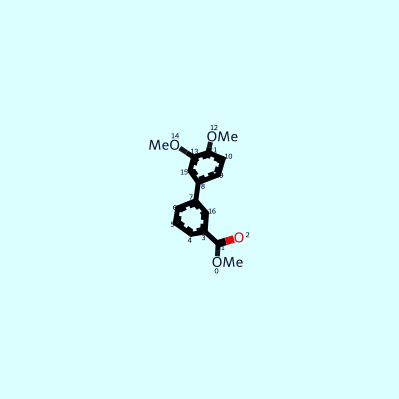 COC(=O)c1cccc(-c2ccc(OC)c(OC)c2)c1